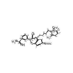 CC(=O)Nc1ccc2c(c1)N(CCCCCN1[C@H](C)CCC[C@@H]1C)C(=O)C(c1cccc(C(=N)N)c1)O2